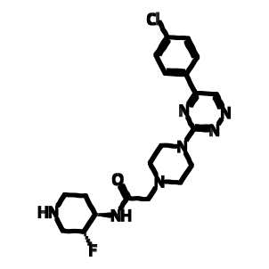 O=C(CN1CCN(c2nncc(-c3ccc(Cl)cc3)n2)CC1)N[C@@H]1CCNC[C@H]1F